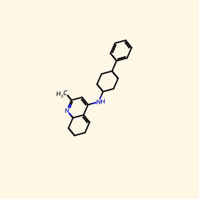 CC1=NC2CCCC=C2C(NC2CCC(c3ccccc3)CC2)=C1